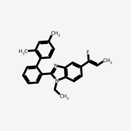 C/C=C(\F)c1ccc2c(c1)nc(-c1ccccc1-c1ccc(C)cc1C)n2CC